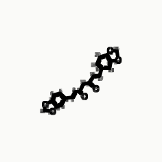 O=C(/C=C/c1ccc2c(c1)OCO2)CC(=O)/C=C/c1ccc2c(c1)OCO2